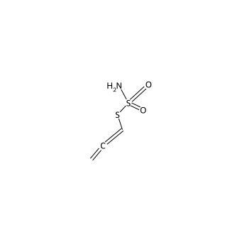 C=C=CSS(N)(=O)=O